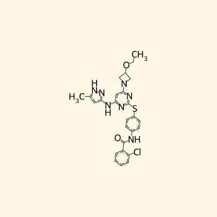 CCOC1CN(c2cc(Nc3cc(C)[nH]n3)nc(Sc3ccc(NC(=O)c4ccccc4Cl)cc3)n2)C1